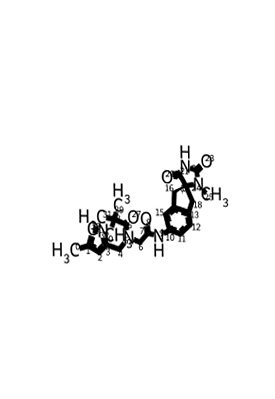 Cc1cc(CN(CC(=O)Nc2ccc3c(c2)C[C@@]2(C3)C(=O)NC(=O)N2C)C(=O)C(C)(C)C)no1